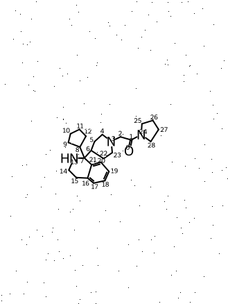 O=C(CN1CCC(C2(C3CCCC3)NCCc3ccccc32)CC1)N1CCCC1